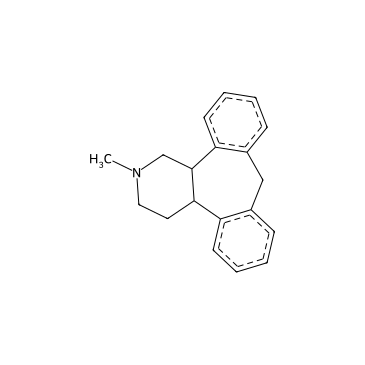 CN1CCC2c3ccccc3Cc3ccccc3C2C1